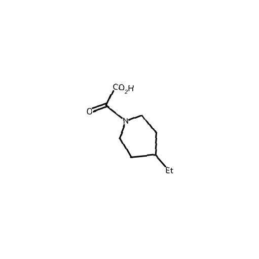 CCC1CCN(C(=O)C(=O)O)CC1